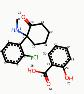 CNC1(c2ccccc2Cl)CCCCC1=O.O=C(O)c1ccccc1O